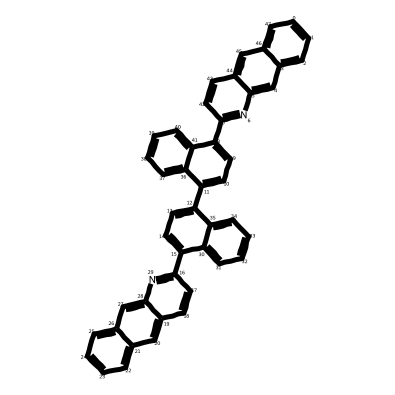 c1ccc2cc3nc(-c4ccc(-c5ccc(-c6ccc7cc8ccccc8cc7n6)c6ccccc56)c5ccccc45)ccc3cc2c1